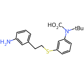 CC(C)(C)N(C(=O)O)c1cccc(SCCc2cccc(N)c2)c1